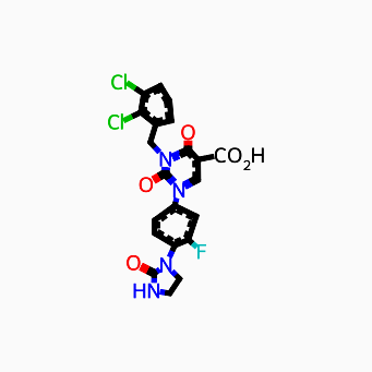 O=C(O)c1cn(-c2ccc(N3CCNC3=O)c(F)c2)c(=O)n(Cc2cccc(Cl)c2Cl)c1=O